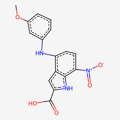 COc1cccc(Nc2ccc([N+](=O)[O-])c3[nH]c(C(=O)O)cc23)c1